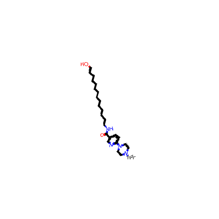 CCCN1CCN(c2ccc(C(=O)NCCCCCCCCCCCCCCO)cn2)CC1